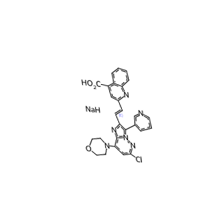 O=C(O)c1cc(/C=C/c2nc3c(N4CCOCC4)cc(Cl)nn3c2-c2cccnc2)nc2ccccc12.[NaH]